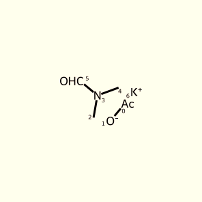 CC(=O)[O-].CN(C)C=O.[K+]